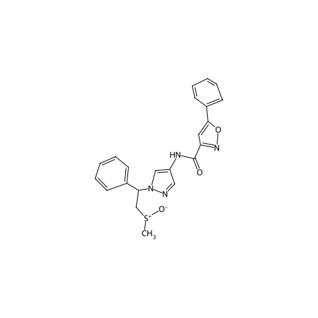 C[S+]([O-])CC(c1ccccc1)n1cc(NC(=O)c2cc(-c3ccccc3)on2)cn1